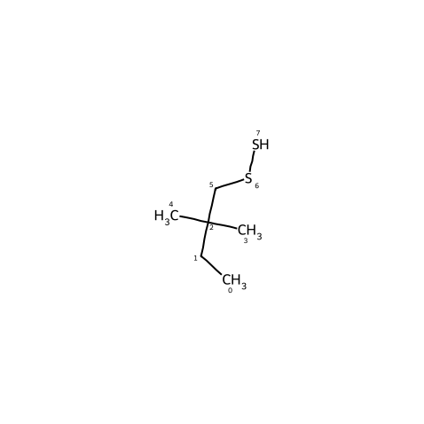 CCC(C)(C)CSS